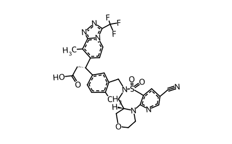 Cc1ccc([C@H](CC(=O)O)c2ccn3c(C(F)(F)F)nnc3c2C)cc1CN1C[C@H]2COCCN2c2ncc(C#N)cc2S1(=O)=O